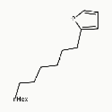 CCCCCCCCCCCCC1=CC=C[P]1